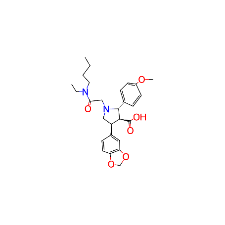 CCCCN(CC)C(=O)CN1C[C@H](c2ccc3c(c2)OCO3)[C@H](C(=O)O)[C@H]1c1ccc(OC)cc1